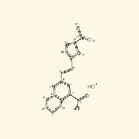 Cl.O=C(Cl)c1cc(C=Cc2ccc([N+](=O)[O-])o2)nc2ccccc12